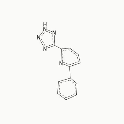 c1ccc(-c2cccc(-c3nn[nH]n3)n2)cc1